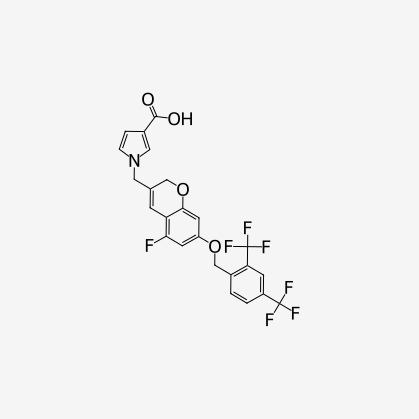 O=C(O)c1ccn(CC2=Cc3c(F)cc(OCc4ccc(C(F)(F)F)cc4C(F)(F)F)cc3OC2)c1